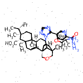 CC(C)[C@@H](C)[C@@]1(C)CC[C@]2(C)[C@H]3CC[C@@H]4[C@@]5(COC[C@@]4(C)[C@@H](OC[C@](C)(N)C(C)(C)C)[C@H](n4ncnc4-c4ccc(C(N)=O)nc4)C5)C3=CC[C@@]2(C)[C@@H]1C(=O)O